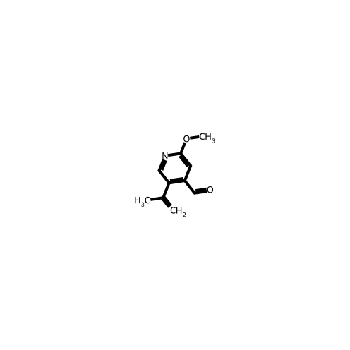 C=C(C)c1cnc(OC)cc1C=O